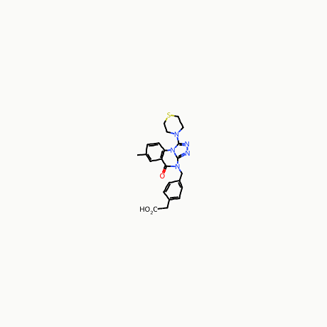 Cc1ccc2c(c1)c(=O)n(Cc1ccc(CC(=O)O)cc1)c1nnc(N3CCSCC3)n21